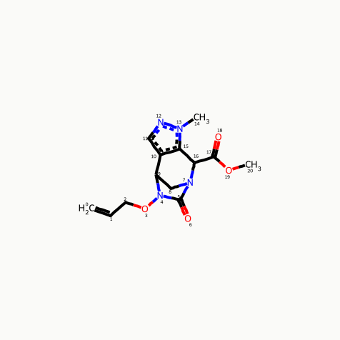 C=CCON1C(=O)N2CC1c1cnn(C)c1C2C(=O)OC